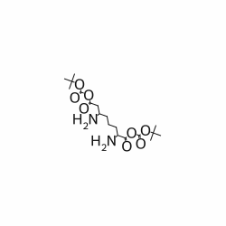 CC(C)(C)OC(=O)OC(=O)CC(N)CCCC(N)C(=O)OC(=O)OC(C)(C)C